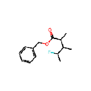 CC(F)C(C)C(C)C(=O)OCc1ccccc1